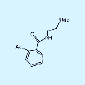 CNCCNC(=O)c1ccccc1C(C)=O